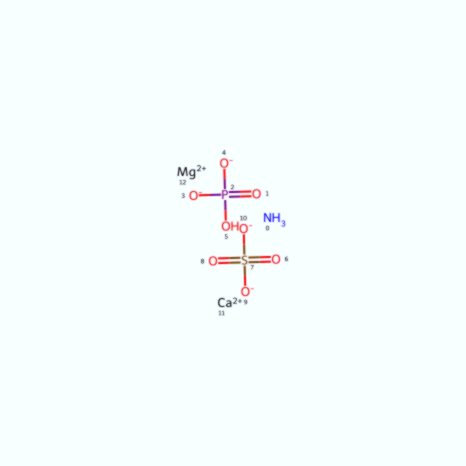 N.O=P([O-])([O-])O.O=S(=O)([O-])[O-].[Ca+2].[Mg+2]